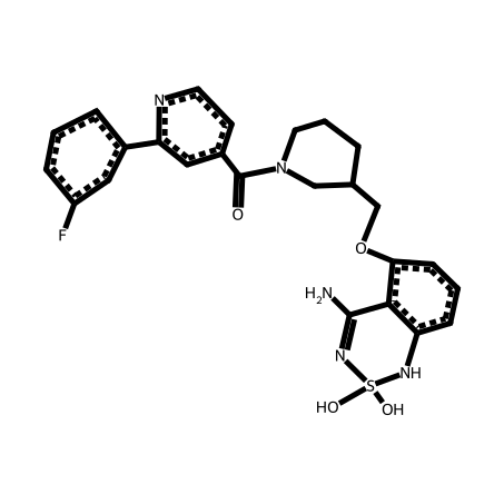 NC1=NS(O)(O)Nc2cccc(OCC3CCCN(C(=O)c4ccnc(-c5cccc(F)c5)c4)C3)c21